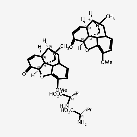 CC(C)[C@H](N)C(=O)O.CC(C)[C@H](N)C(=O)O.COC1=C2O[C@H]3C(=O)C=C[C@H]4[C@H]5CC(C=C1)C2[C@@]34CCN5C.COC1=C2O[C@H]3C(=O)C=C[C@H]4[C@H]5CC(C=C1)C2[C@@]34CCN5C